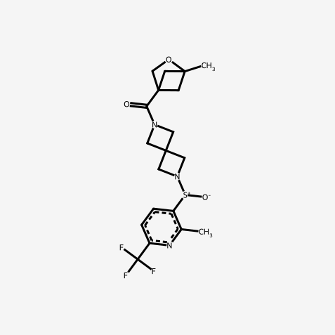 Cc1nc(C(F)(F)F)ccc1[S+]([O-])N1CC2(CN(C(=O)C34COC(C)(C3)C4)C2)C1